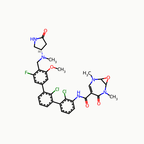 COc1cc(-c2cccc(-c3cccc(NC(=O)C4=CN(C)C5OC5N(C)C4=O)c3Cl)c2Cl)cc(F)c1CN(C)[C@@H]1CNC(=O)C1